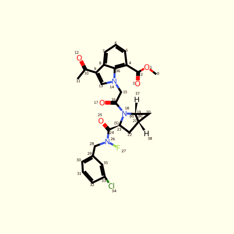 COC(=O)c1cccc2c(C(C)=O)cn(CC(=O)N3[C@@H]4C[C@@H]4C[C@H]3C(=O)N(F)Cc3cccc(Cl)c3)c12